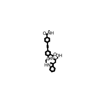 CCOc1ccc(C#Cc2ccc(C(=O)NC)cc2)cc1C(=O)N[C@@H](CO)Cc1c[nH]c2ccccc12